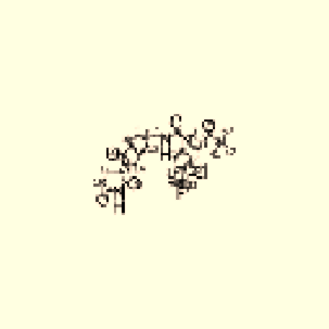 C=C(CN(C(=O)NCc1ccc2c(c1)CN(C1CCC(=O)NC1=O)C2=O)c1ccc(C(F)(F)F)c(Cl)c1)C(=O)C(C)(C)C